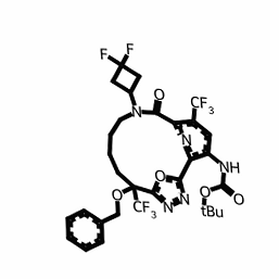 CC(C)(C)OC(=O)Nc1cc(C(F)(F)F)c2nc1-c1nnc(o1)C(OCc1ccccc1)(C(F)(F)F)CCCCN(C1CC(F)(F)C1)C2=O